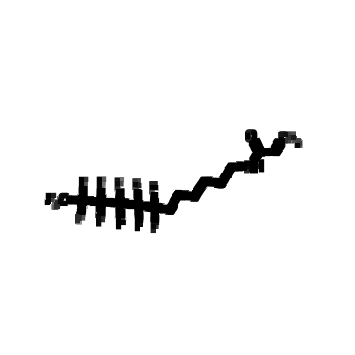 C=CC(=O)NCCCCCCC(F)(F)C(F)(F)C(F)(F)C(F)(F)C(F)(F)C(F)(F)F